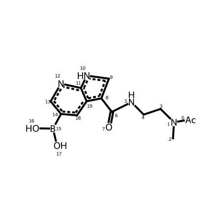 CC(=O)N(C)CCNC(=O)c1c[nH]c2ncc(B(O)O)cc12